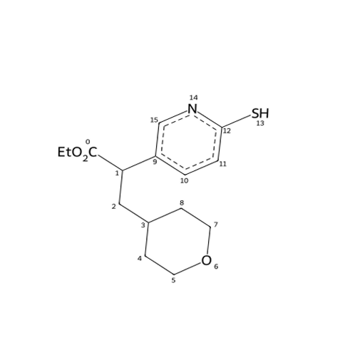 CCOC(=O)C(CC1CCOCC1)c1ccc(S)nc1